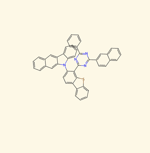 c1ccc(-c2nc(-c3ccc4ccccc4c3)nc(-c3c(-n4c5ccccc5c5cc6ccccc6cc54)ccc4c3sc3ccccc34)n2)cc1